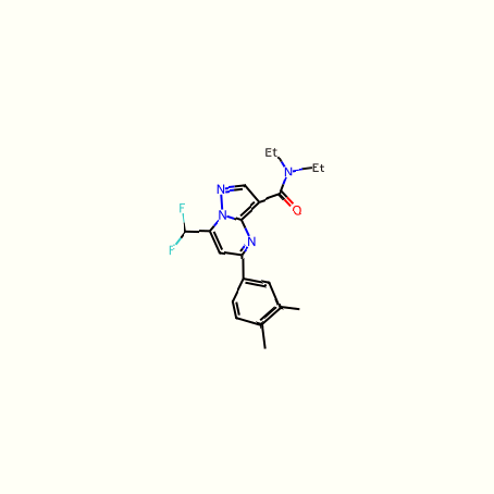 CCN(CC)C(=O)c1cnn2c(C(F)F)cc(-c3ccc(C)c(C)c3)nc12